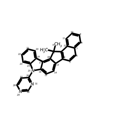 CC1(C)c2c(ccc3ccccc23)-c2ccc3c(c21)c1ccccc1n3-c1ccncn1